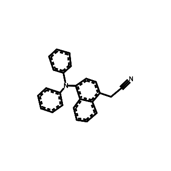 N#CCc1ccc(N(c2ccccc2)c2ccccc2)c2ccccc12